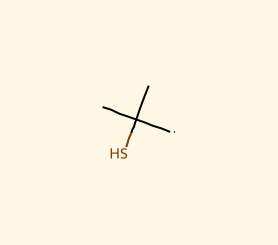 [CH2]C(C)(C)S